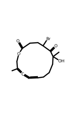 CC1=C=C=CCCCC(C)(O)C(=O)C(Br)CCC(=O)OC1